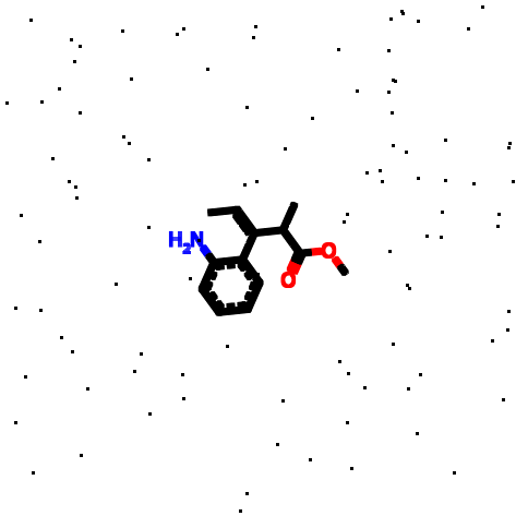 C/C=C(\c1ccccc1N)C(C)C(=O)OC